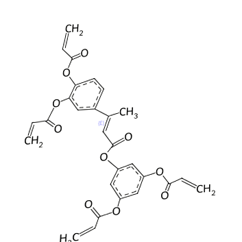 C=CC(=O)Oc1cc(OC(=O)C=C)cc(OC(=O)/C=C(\C)c2ccc(OC(=O)C=C)c(OC(=O)C=C)c2)c1